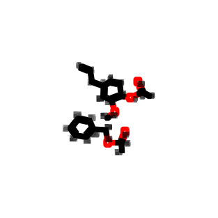 C=CCc1ccc(OC(C)=O)c(OC)c1.CC(=O)OCc1ccccc1